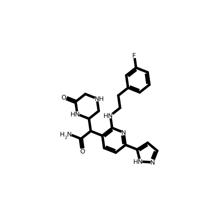 NC(=O)C(c1ccc(-c2ccn[nH]2)nc1NCCc1cccc(F)c1)C1CNCC(=O)N1